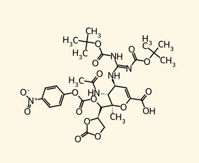 CC(=O)N[C@@H]1[C@@H](NC(=NC(=O)OC(C)(C)C)NC(=O)OC(C)(C)C)C=C(C(=O)O)O[C@@]1(C)C(OC(=O)Oc1ccc([N+](=O)[O-])cc1)[C@H]1COC(=O)O1